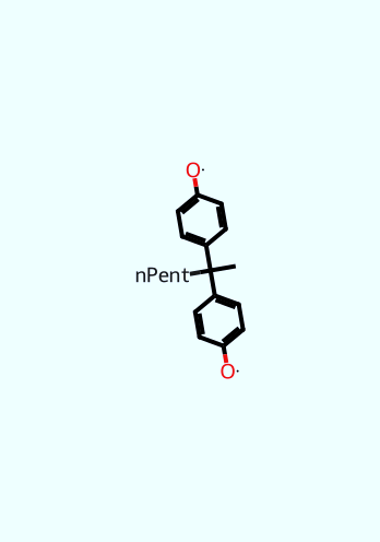 CCCCCC(C)(c1ccc([O])cc1)c1ccc([O])cc1